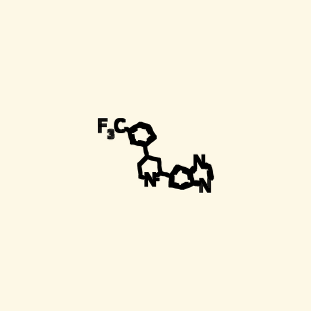 FC(F)(F)c1cccc(C2CC[N]C(c3ccc4nccnc4c3)C2)c1